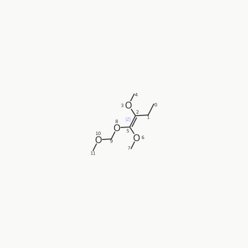 CC/C(OC)=C(\OC)OCOC